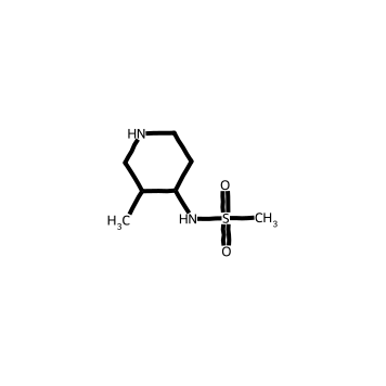 CC1CNCCC1NS(C)(=O)=O